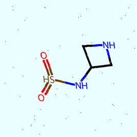 O=[SH](=O)NC1CNC1